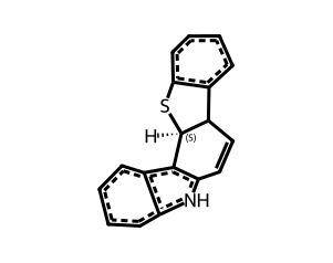 C1=CC2c3ccccc3S[C@@H]2c2c1[nH]c1ccccc21